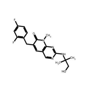 Cn1c(=O)c(Cc2ccc(F)cc2F)cc2cnc(NC(C)(C)CO)nc21